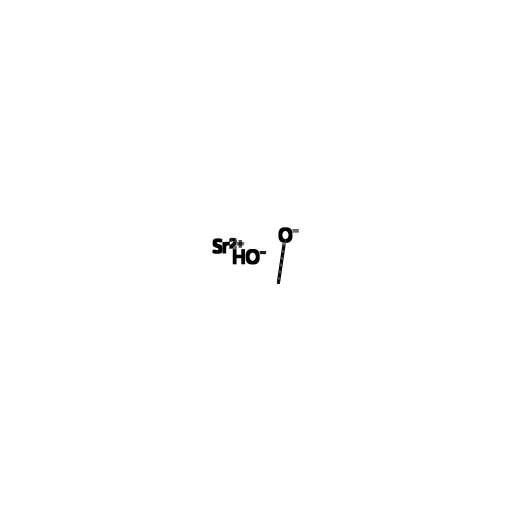 C[O-].[OH-].[Sr+2]